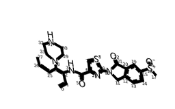 C=C/C(NC(=O)c1csc(N2Cc3ccc([S+](C)[O-])cc3C2=O)n1)=C(\C=C/C)N1CCNCC1